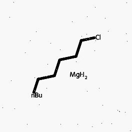 CCCCCCCCCCl.[MgH2]